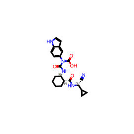 N#C[C@@H](NC(=O)[C@@H]1CCCC[C@@H]1NC(=O)N(C(=O)O)c1ccc2[nH]ccc2c1)C1CC1